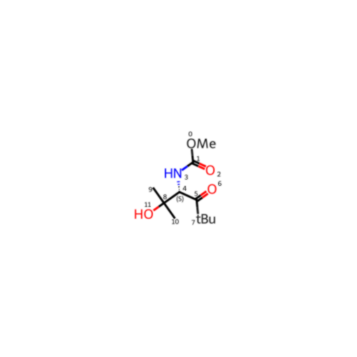 COC(=O)N[C@H](C(=O)C(C)(C)C)C(C)(C)O